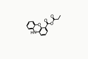 CCC(=O)OC(=O)c1cccc2c1Oc1ccccc1N2